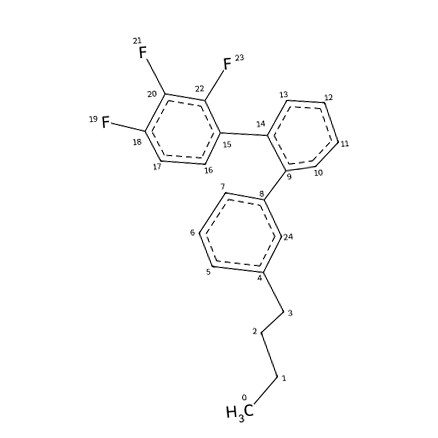 CCCCc1cccc(-c2ccccc2-c2ccc(F)c(F)c2F)c1